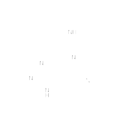 C1CCNCC1.c1ncc2[nH]nnc2n1